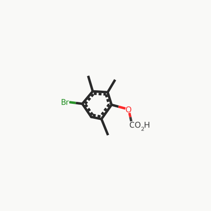 Cc1cc(Br)c(C)c(C)c1OC(=O)O